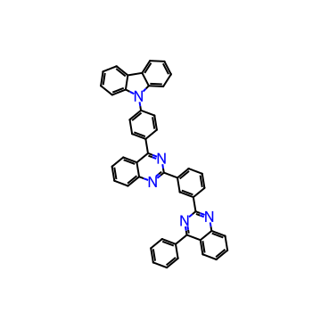 c1ccc(-c2nc(-c3cccc(-c4nc(-c5ccc(-n6c7ccccc7c7ccccc76)cc5)c5ccccc5n4)c3)nc3ccccc23)cc1